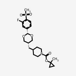 CC1(OC(=O)N2CCC(C[C@H]3CO[C@@H](c4ccc(S(C)(=O)=O)c(F)c4)OC3)CC2)CC1